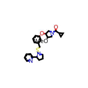 COC1CN(C(=O)C2CC2)CC1Oc1cccc(CSN2CCCC2c2ccccn2)c1